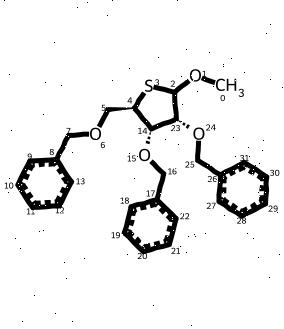 COC1S[C@H](COCc2ccccc2)[C@@H](OCc2ccccc2)[C@H]1OCc1ccccc1